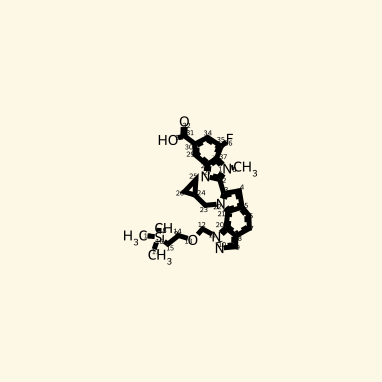 Cn1c(-c2cc3ccc4cnn(COCC[Si](C)(C)C)c4c3n2CC2CC2)nc2cc(C(=O)O)cc(F)c21